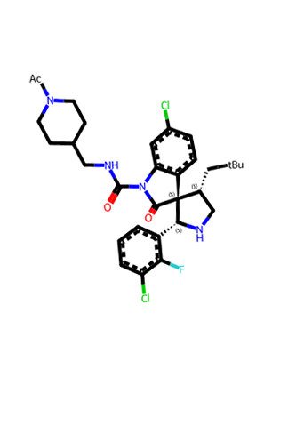 CC(=O)N1CCC(CNC(=O)N2C(=O)[C@]3(c4ccc(Cl)cc42)[C@H](CC(C)(C)C)CN[C@@H]3c2cccc(Cl)c2F)CC1